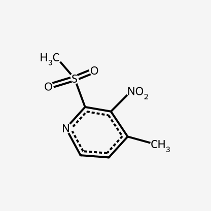 Cc1ccnc(S(C)(=O)=O)c1[N+](=O)[O-]